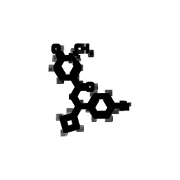 Cn1cc(C(=O)CC(c2ccc(Br)cc2)C2CCC2)ccc1=O